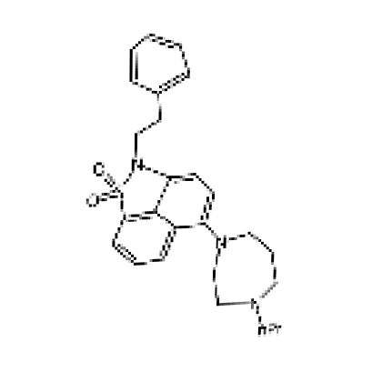 CCCN1CCCN(c2ccc3c4c(cccc24)S(=O)(=O)N3CCc2ccccc2)CC1